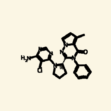 Cc1ccn2nc([C@@H]3CCCN3c3ncnc(N)c3Cl)n(-c3ccccc3)c(=O)c12